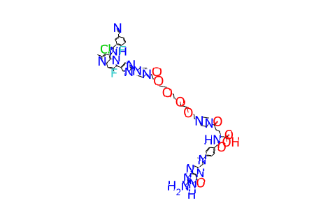 Cc1nc2cc(F)c(-c3cnc(N4CCN(C(=O)COCCOCCOCCOCCN5CCN(C(=O)CC[C@H](NC(=O)c6ccc(N(C)Cc7cnc8nc(N)[nH]c(=O)c8n7)cc6)C(=O)O)CC5)CC4)nc3)nc2c(N[C@H](C)c2cc(C#N)ccc2F)c1Cl